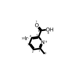 Cc1cccc(C(=O)O)n1.[Ir]